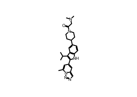 Cc1cc(-c2[nH]c3ccc(C4CCN(C(=O)CN(C)C)CC4)cc3c2C(C)C)cc2cnnn12